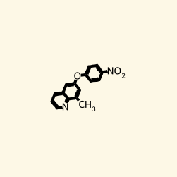 Cc1cc(Oc2ccc([N+](=O)[O-])cc2)cc2cccnc12